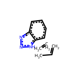 C=C.C=CC.c1ccc2[nH]nnc2c1